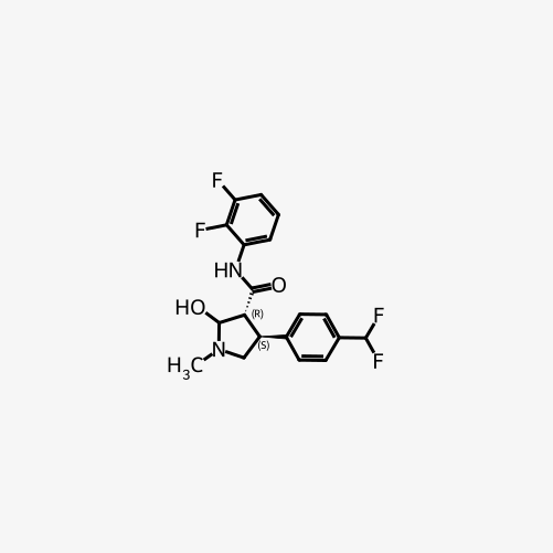 CN1C[C@H](c2ccc(C(F)F)cc2)[C@@H](C(=O)Nc2cccc(F)c2F)C1O